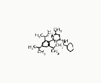 Cc1cc(NCC2CCCCC2)nc(-c2c(C(C)C)cc(C(C)C)cc2C(C)C)n1